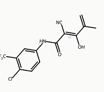 C=C(C)/C(O)=C(\C#N)C(=O)Nc1ccc(Cl)c(C(F)(F)F)c1